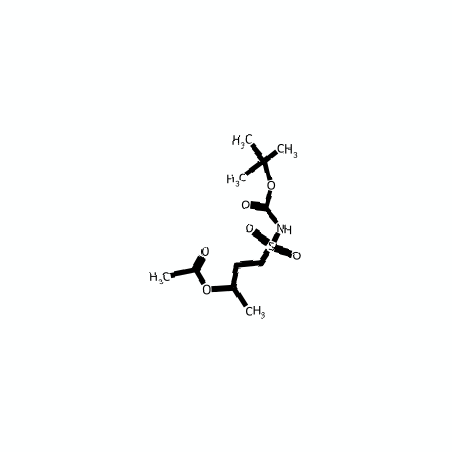 CC(=O)OC(C)CCS(=O)(=O)NC(=O)OC(C)(C)C